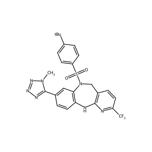 Cn1nnnc1-c1ccc2c(c1)N(S(=O)(=O)c1ccc(C(C)(C)C)cc1)Cc1ccc(C(F)(F)F)nc1N2